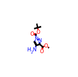 COC(=O)c1nn(C(=O)OC(C)(C)C)cc1N